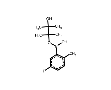 Cc1ccc(F)cc1B(O)OC(C)(C)C(C)(C)O